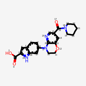 O=C(O)c1cc2ccc(N3CCOc4cc(C(=O)N5CCCCC5)cnc43)cc2[nH]1